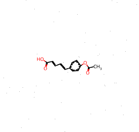 CC(=O)Oc1ccc(C=CC=CC(=O)O)cc1